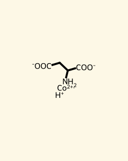 NC(CC(=O)[O-])C(=O)[O-].[Co+2].[H+]